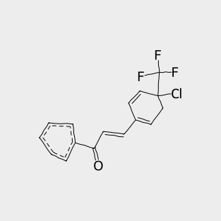 O=C(C=CC1=CCC(Cl)(C(F)(F)F)C=C1)c1ccccc1